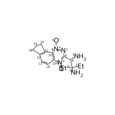 CCC(N)(CC)C(N)c1n[n+]([O-])c2c3c(ccc2[n+]1[O-])CCC3